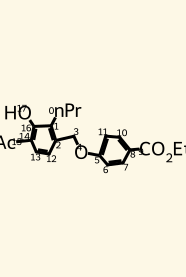 CCCc1c(COc2ccc(C(=O)OCC)cc2)ccc(C(C)=O)c1O